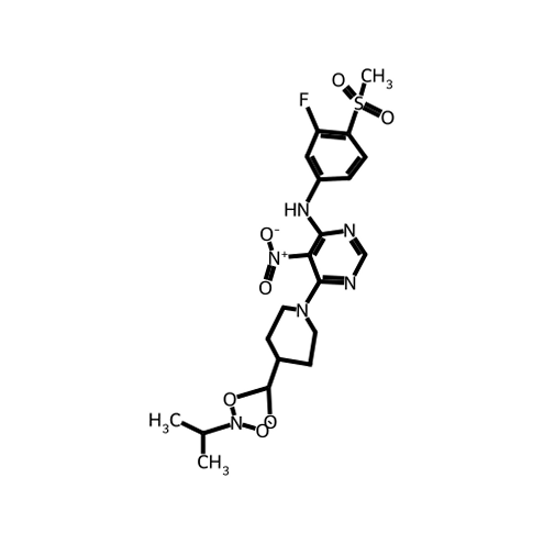 CC(C)N1OOC(C2CCN(c3ncnc(Nc4ccc(S(C)(=O)=O)c(F)c4)c3[N+](=O)[O-])CC2)O1